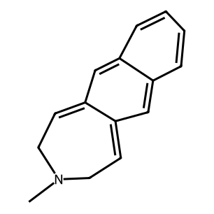 CN1CC=c2cc3ccccc3cc2=CC1